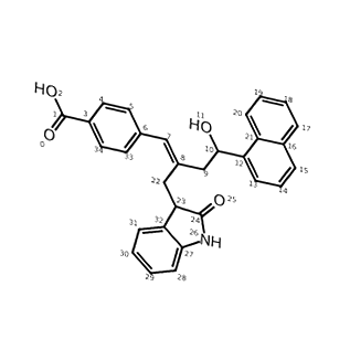 O=C(O)c1ccc(C=C(CC(O)c2cccc3ccccc23)CC2C(=O)Nc3ccccc32)cc1